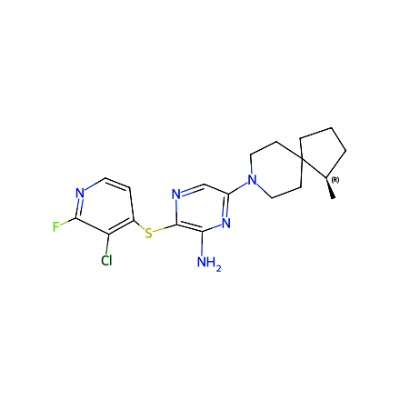 C[C@@H]1CCCC12CCN(c1cnc(Sc3ccnc(F)c3Cl)c(N)n1)CC2